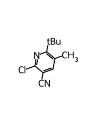 Cc1cc(C#N)c(Cl)nc1C(C)(C)C